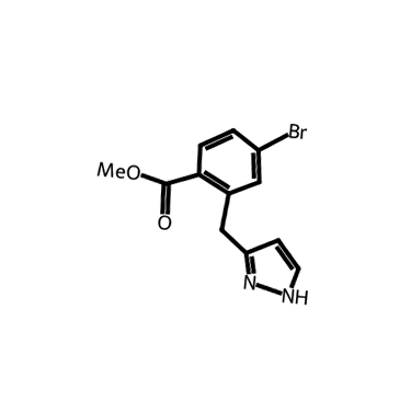 COC(=O)c1ccc(Br)cc1Cc1cc[nH]n1